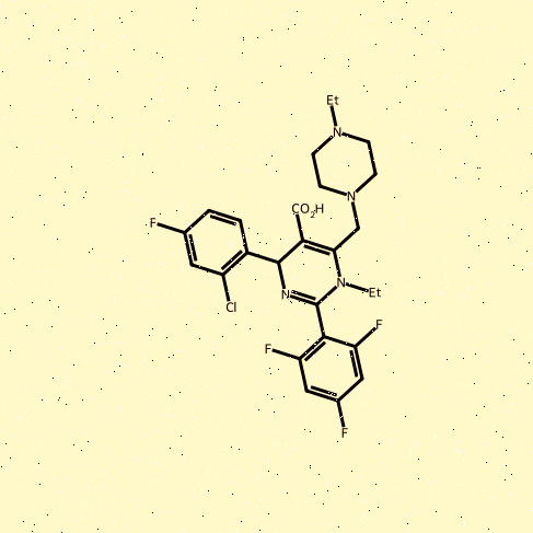 CCN1CCN(CC2=C(C(=O)O)C(c3ccc(F)cc3Cl)N=C(c3c(F)cc(F)cc3F)N2CC)CC1